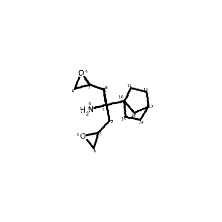 NC(CC1CO1)(CC1CO1)C12CCC(CC1)C2